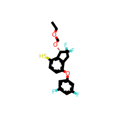 CCOCO[C@H]1c2c(S)ccc(Oc3cc(F)cc(F)c3)c2CC1(F)F